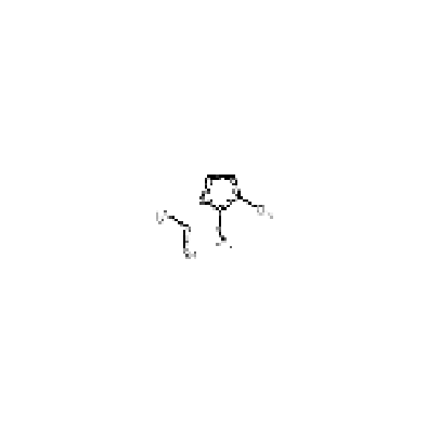 Cc1ccsc1C.N=CN